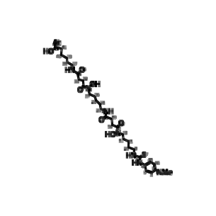 CNc1ccc(NC(=S)NCCCCCN(O)C(=O)CCC(=O)NCCCCCN(O)C(=O)CCC(=O)NCCCCCN(O)C(C)=O)cc1